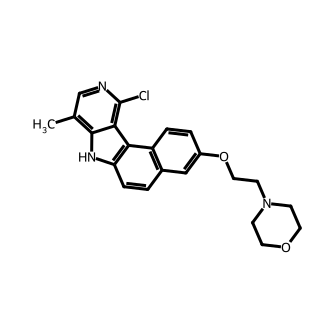 Cc1cnc(Cl)c2c1[nH]c1ccc3cc(OCCN4CCOCC4)ccc3c12